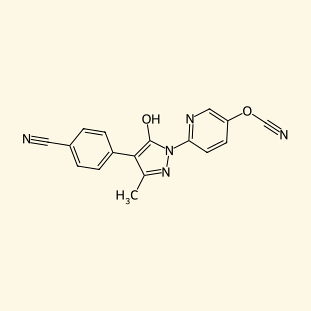 Cc1nn(-c2ccc(OC#N)cn2)c(O)c1-c1ccc(C#N)cc1